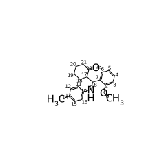 COc1ccccc1C(Nc1ccc(C)cc1)C1CCCCC1=O